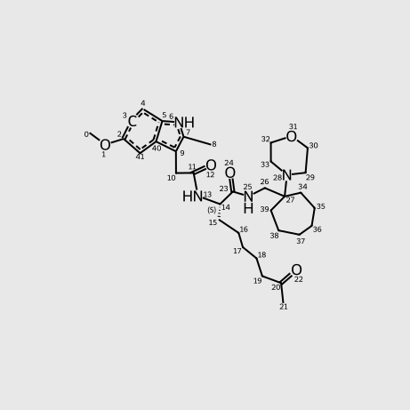 COc1ccc2[nH]c(C)c(CC(=O)N[C@@H](CCCCCC(C)=O)C(=O)NCC3(N4CCOCC4)CCCCCC3)c2c1